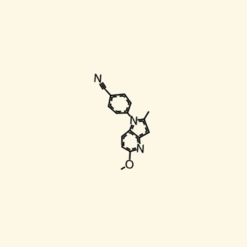 COc1ccc2c(cc(C)n2-c2ccc(C#N)cc2)n1